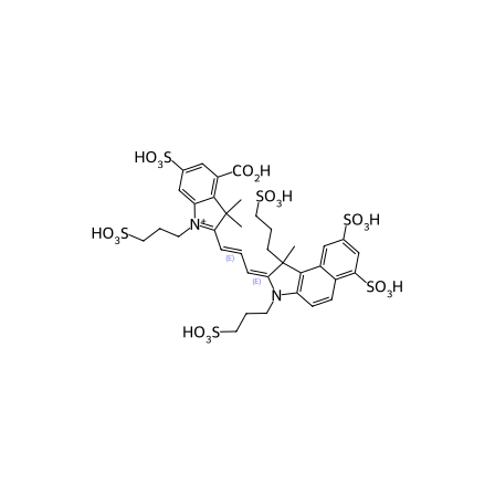 CC1(C)C(/C=C/C=C2/N(CCCS(=O)(=O)O)c3ccc4c(S(=O)(=O)O)cc(S(=O)(=O)O)cc4c3C2(C)CCCS(=O)(=O)O)=[N+](CCCS(=O)(=O)O)c2cc(S(=O)(=O)O)cc(C(=O)O)c21